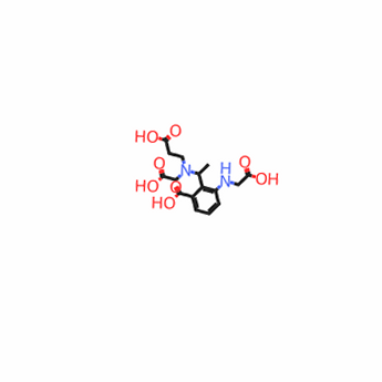 CC(c1c(NCC(=O)O)cccc1C(=O)O)N(CCC(=O)O)CC(=O)O